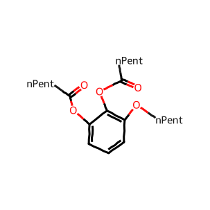 CCCCCOc1cccc(OC(=O)CCCCC)c1OC(=O)CCCCC